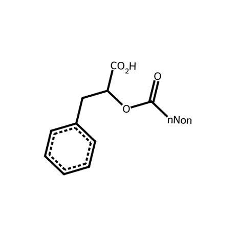 CCCCCCCCCC(=O)OC(Cc1ccccc1)C(=O)O